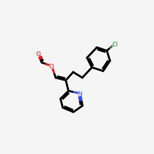 O=CO/C=C(\CCc1ccc(Cl)cc1)c1ccccn1